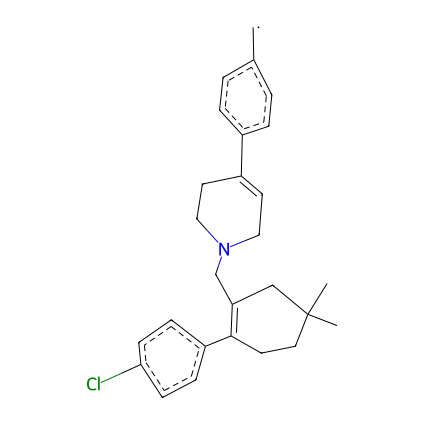 [CH2]c1ccc(C2=CCN(CC3=C(c4ccc(Cl)cc4)CCC(C)(C)C3)CC2)cc1